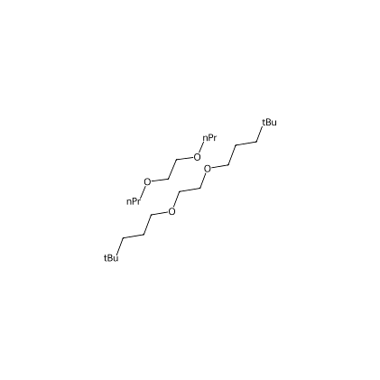 CC(C)(C)CCCOCCOCCCC(C)(C)C.CCCOCCOCCC